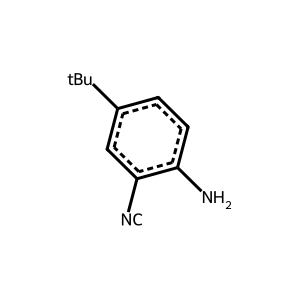 [C-]#[N+]c1cc(C(C)(C)C)ccc1N